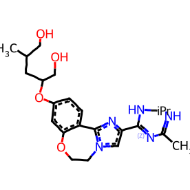 CC(=N)/N=C(\NC(C)C)c1cn2c(n1)-c1ccc(OC(CO)CC(C)CO)cc1OCC2